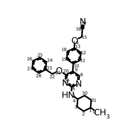 CC1CCC(Nc2ncc(-c3ccc(OCC#N)cc3)c(OCc3ccccc3)n2)CC1